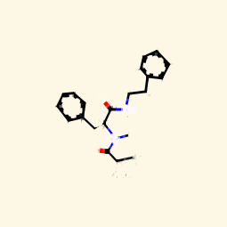 CN[C@H](C(=O)N(C)[C@@H](Cc1ccccc1)C(=O)NCCc1ccccc1)C(C)C